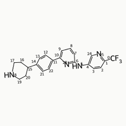 FC(F)(F)c1ccc(Nc2cccc(-c3ccc(C4CCNCC4)cc3)n2)cn1